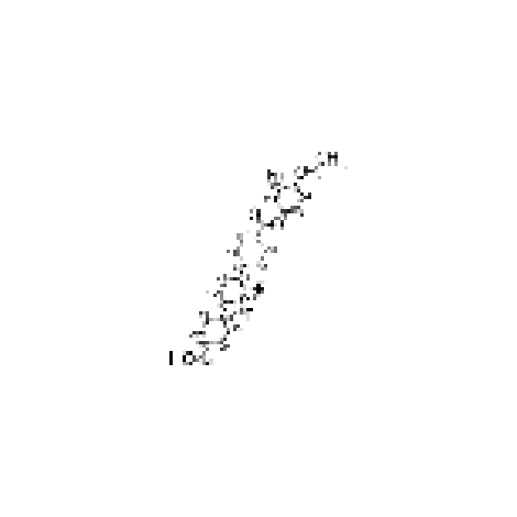 CCOc1ccc(OC(=O)C2CCC(c3ccc(-c4ccc(CO)cc4)c(F)c3F)CC2)cc1F